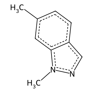 Cc1ccc2cnn(C)c2c1